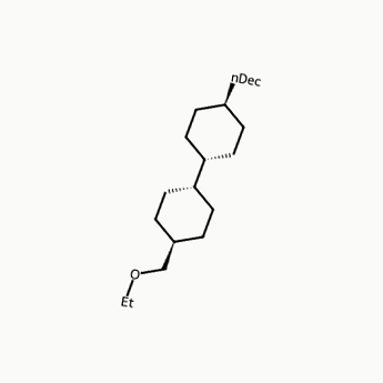 CCCCCCCCCC[C@H]1CC[C@H]([C@H]2CC[C@H](COCC)CC2)CC1